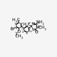 CCOc1c(Br)cc(C)cc1-c1cccc(C2(C)CC(=O)N(C)C(N)=N2)c1